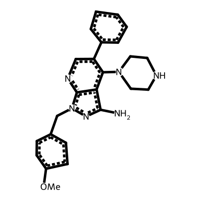 COc1ccc(Cn2nc(N)c3c(N4CCNCC4)c(-c4ccccc4)cnc32)cc1